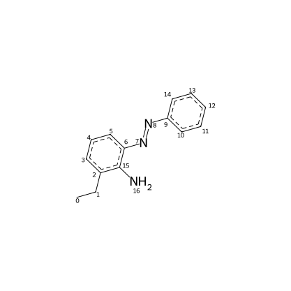 CCc1cccc(N=Nc2ccccc2)c1N